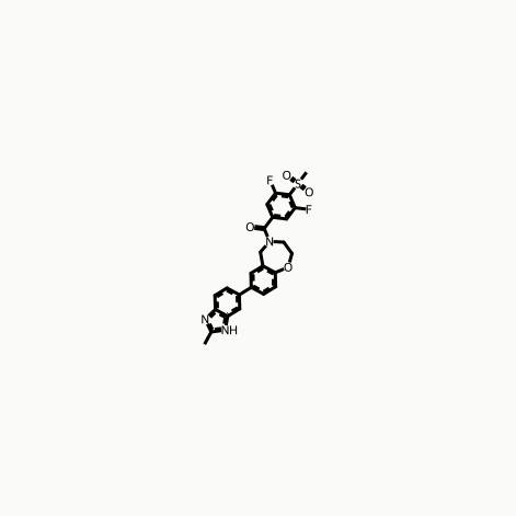 Cc1nc2ccc(-c3ccc4c(c3)CN(C(=O)c3cc(F)c(S(C)(=O)=O)c(F)c3)CCO4)cc2[nH]1